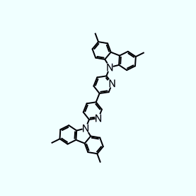 Cc1ccc2c(c1)c1cc(C)ccc1n2-c1ccc(-c2ccc(-n3c4ccc(C)cc4c4cc(C)ccc43)nc2)cn1